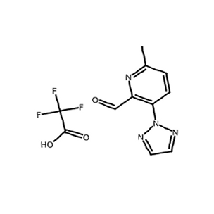 Cc1ccc(-n2nccn2)c(C=O)n1.O=C(O)C(F)(F)F